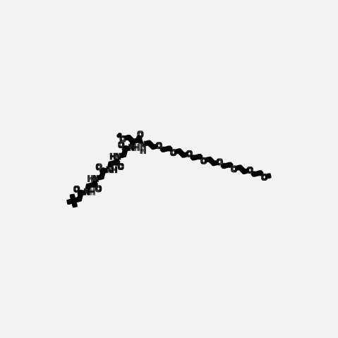 COCCOCCOCCOCCOCCOCCOCCOCCNC(=O)C(COC)NC(=O)CNC(=O)CNC(=O)CNC(=O)CNC(=O)CC(C)(C)C